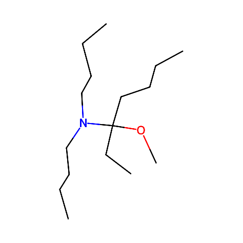 CCCCN(CCCC)C(CC)(CCCC)OC